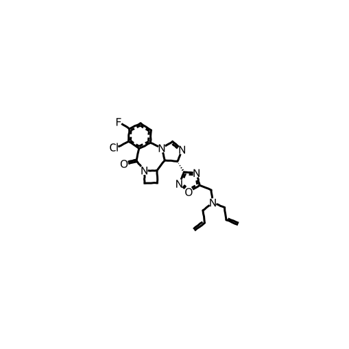 C=CCN(CC=C)Cc1nc([C@H]2N=CN3c4ccc(F)c(Cl)c4C(=O)N4CCC4C23)no1